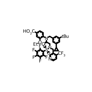 CCOc1cc(C(=O)O)ccc1N(Cc1cc(C2CC2)cc(C(C)(C)C)c1)C(=O)CN(Cc1cnccc1C(F)(F)F)S(=O)(=O)c1c(F)c(F)c(F)c(F)c1F